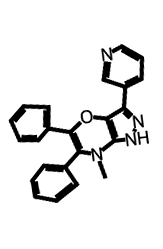 CN1C(c2ccccc2)=C(c2ccccc2)Oc2c(-c3cccnc3)n[nH]c21